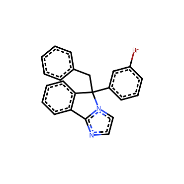 Brc1cccc(C2(Cc3ccccc3)c3ccccc3-c3nccn32)c1